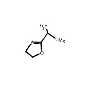 COC(C)C1=NCCO1